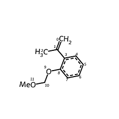 C=C(C)c1ccccc1OCOC